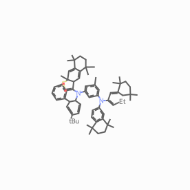 CC/C=C(\C=C1/CC(C)(C)CCC1(C)C)N(c1cc(C)cc(N(C2=CSC3(C)C=C4C(=CC23)C(C)(C)CCC4(C)C)C2C=CC(C(C)(C)C)=CC2c2ccccc2)c1)c1ccc2c(c1)C(C)(C)CCC2(C)C